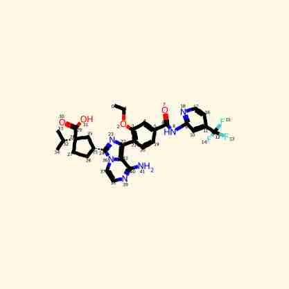 CCOc1cc(C(=O)Nc2cc(C(F)(F)F)ccn2)ccc1-c1nc([C@@H]2CC[C@](C(=O)O)(C(C)C)C2)n2ccnc(N)c12